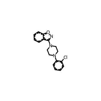 Clc1ccccc1N1CCN(c2noc3ccccc23)CC1